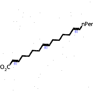 CCCCC/C=C/CCCC/C=C/CCCC/C=C/C(=O)O